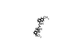 Cc1ccc2c(NCCCNS(=O)(=O)c3cccc([N+](=O)[O-])c3)ccnc2c1